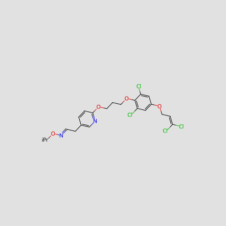 CC(C)ON=CCc1ccc(OCCCOc2c(Cl)cc(OCC=C(Cl)Cl)cc2Cl)nc1